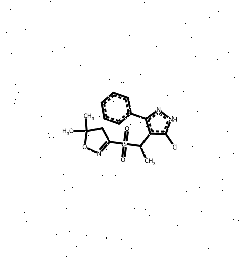 CC(c1c(-c2ccccc2)n[nH]c1Cl)S(=O)(=O)C1=NOC(C)(C)C1